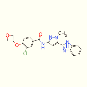 Cn1nc(NC(=O)c2ccc(OC3COC3)c(Cl)c2)cc1-c1nc2ccccc2[nH]1